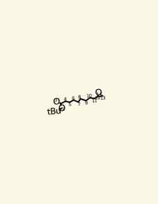 CC(C)(C)OC(=O)CCCCCCCCC1CO1